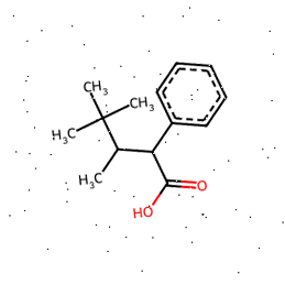 CC(C(C(=O)O)c1ccccc1)C(C)(C)C